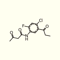 CCC(=O)c1cc(NC(=O)CC(C)=O)c(F)cc1Cl